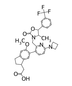 COc1cc2c(cc1-c1ccc(N3CCC3)nc1CN1C(=O)OC(c3cccc(C(F)(F)F)c3)C1C)C(CC(=O)O)CC2